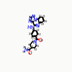 CN(C)C(=O)C1CCN(C(=O)c2ccc(Nc3nc4ccccc4n4nnnc34)cc2)CC1